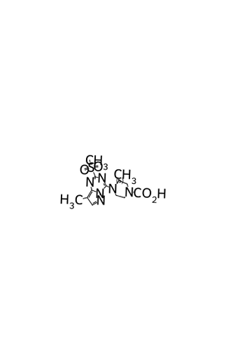 Cc1cnn2c(N3CCN(C(=O)O)C[C@@H]3C)nc(S(C)(=O)=O)nc12